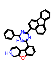 C1=Cc2c(oc3cccc(C4=NC(c5ccc6c7c(cccc57)-c5ccccc5-6)=NC(c5ccccc5)N4)c23)CN1